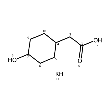 O=C(O)CC1CCC(O)CC1.[KH]